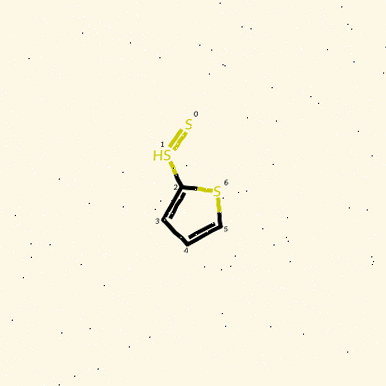 S=[SH]c1cccs1